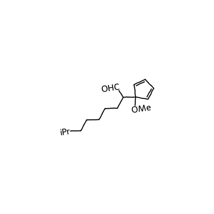 COC1(C(C=O)CCCCCC(C)C)C=CC=C1